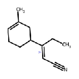 CC/C(=C\C#N)C1CCC=C(C)C1